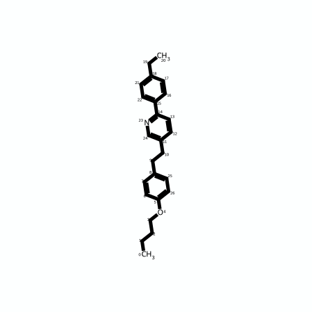 CCCCOc1ccc(CCc2ccc(-c3ccc(CC)cc3)nc2)cc1